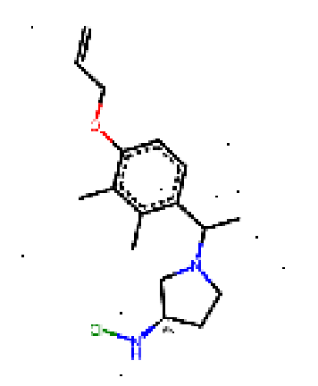 C=CCOc1ccc(C(C)N2CC[C@@H](NCl)C2)c(C)c1C